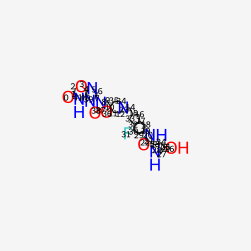 O=C1COc2ncc(N3CC4(CCN(CC5Cc6cc(NC(=O)[C@H]7C[C@H](O)CN7)cc(F)c6C5)CC4)OC3=O)nc2N1